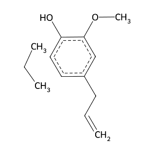 C=CCc1ccc(O)c(OC)c1.CCC